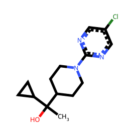 CC(O)(C1CC1)C1CCN(c2ncc(Cl)cn2)CC1